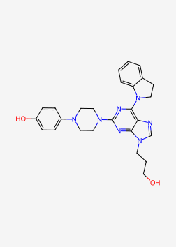 OCCCn1cnc2c(N3CCc4ccccc43)nc(N3CCN(c4ccc(O)cc4)CC3)nc21